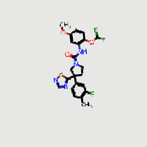 COc1ccc(OC(F)F)c(NC(=O)N2CCC(c3ccc(C)c(F)c3)(c3ncns3)C2)c1